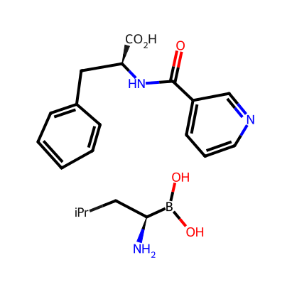 CC(C)C[C@H](N)B(O)O.O=C(N[C@@H](Cc1ccccc1)C(=O)O)c1cccnc1